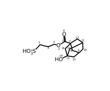 O=C(OCCCS(=O)(=O)O)C12CC3CC(CC(O)(C3)C1)C2